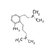 CP(C)CCCc1c(P)cccc1CCP(C)C